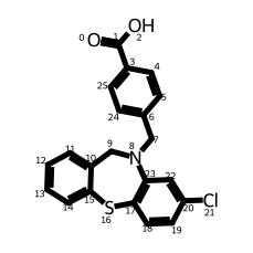 O=C(O)c1ccc(CN2Cc3ccccc3Sc3ccc(Cl)cc32)cc1